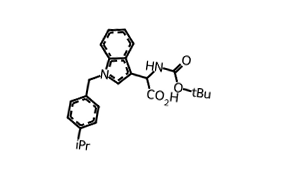 CC(C)c1ccc(Cn2cc(C(NC(=O)OC(C)(C)C)C(=O)O)c3ccccc32)cc1